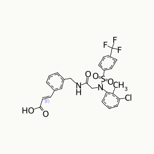 Cc1c(Cl)cccc1N(CC(=O)NCc1cccc(/C=C/C(=O)O)c1)S(=O)(=O)c1ccc(C(F)(F)F)cc1